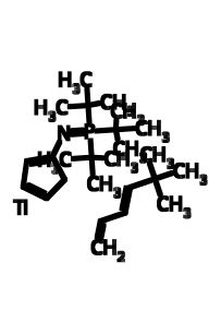 C=CC=CC(C)(C)C.CC(C)(C)P(=NC1=CC=CC1)(C(C)(C)C)C(C)(C)C.[Ti]